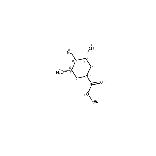 C[C@@H]1CN(C(=O)OC(C)(C)C)C[C@H](C)N1C#N